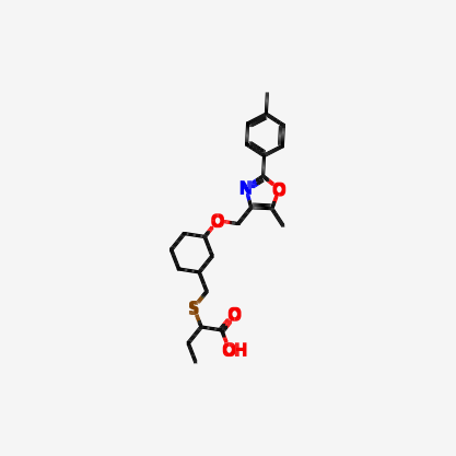 CCC(SCC1CCCC(OCc2nc(-c3ccc(C)cc3)oc2C)C1)C(=O)O